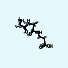 C[C@H](N)C(=O)N[C@@H](C)C(=O)NCCC(=O)O